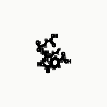 CCCCC(N)N.O=C(O)CCC(=O)O.O=C(O)c1ccc(C(=O)O)cc1